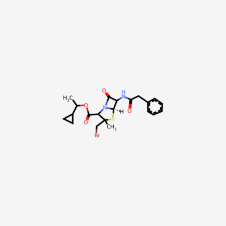 CC(OC(=O)C1N2C(=O)C(NC(=O)Cc3ccccc3)[C@H]2SC1(C)CBr)C1CC1